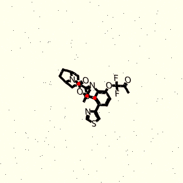 CC(=O)C(F)(F)Oc1ccc(-c2cscn2)c2oc(N3CC4CCC(C3)N4C(=O)OC(C)(C)C)nc12